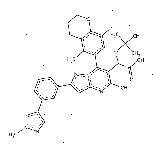 Cc1nc2cc(-c3cccc(-c4cnn(C)c4)c3)nn2c(-c2cc(F)c3c(c2C)CCCO3)c1[C@H](OC(C)(C)C)C(=O)O